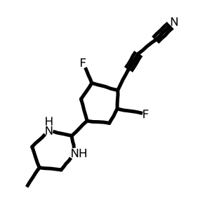 CC1CNC(C2CC(F)C(C#CC#N)C(F)C2)NC1